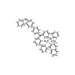 CC1(C)c2ccccc2-c2ccc(N(c3ccc(-c4ccc5sc6ccccc6c5c4)cc3)c3cccc(-c4cccc(-c5cccc6ccccc56)c4)c3)cc21